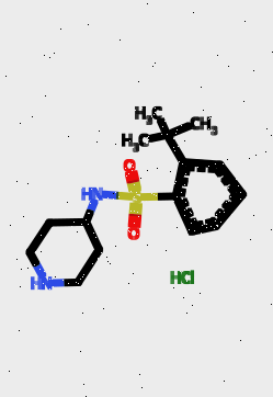 CC(C)(C)c1ccccc1S(=O)(=O)NC1CCNCC1.Cl